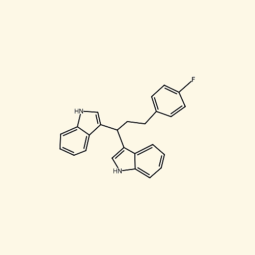 Fc1ccc(CCC(c2c[nH]c3ccccc23)c2c[nH]c3ccccc23)cc1